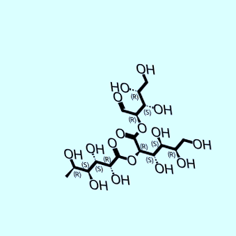 C[C@@H](O)[C@H](O)[C@H](O)[C@@H](O)C(=O)O[C@@H](C(=O)O[C@@H](C=O)[C@@H](O)[C@H](O)CO)[C@@H](O)[C@@H](O)[C@H](O)CO